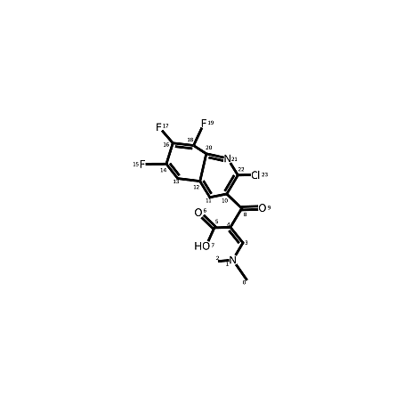 CN(C)C=C(C(=O)O)C(=O)c1cc2cc(F)c(F)c(F)c2nc1Cl